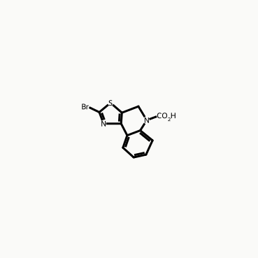 O=C(O)N1Cc2sc(Br)nc2-c2ccccc21